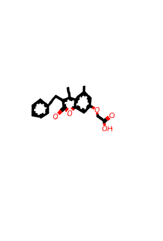 Cc1cc(OCC(=O)O)cc2oc(=O)c(Cc3ccccc3)c(C)c12